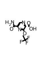 NC(=O)c1cncc(OCC(F)(F)F)n1.O=CO